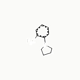 FC(F)(F)c1ccccc1N1C[CH]CC1